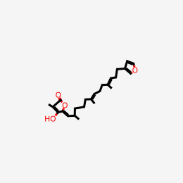 CC1=C(O)/C(=C/C(C)CCC/C(C)=C/CC/C(C)=C/CCc2ccoc2)OC1=O